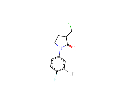 O=C1C(CCl)CCN1c1ccc(F)c(C(F)(F)F)c1